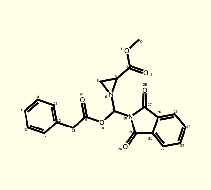 COC(=O)C1CN1C(OC(=O)Cc1ccccc1)N1C(=O)c2ccccc2C1=O